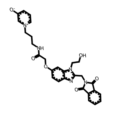 O=C(COc1ccc2nc(CN3C(=O)c4ccccc4C3=O)n(CCO)c2c1)NCCC[n+]1cccc([O-])c1